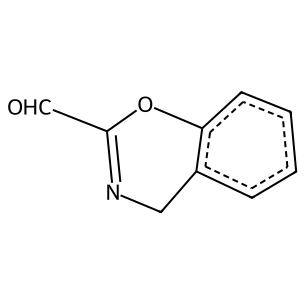 O=CC1=NCc2ccccc2O1